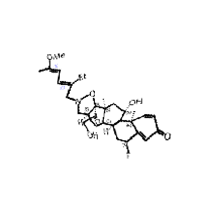 CC/C(=C\C=C(/C)OC)CN1C[C@@H]2CC3[C@@H]4C[C@H](F)C5=CC(=O)C=C[C@]5(C)C4[C@@H](O)C[C@]3(C)[C@]2(C(=O)CO)O1